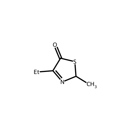 CCC1=NC(C)SC1=O